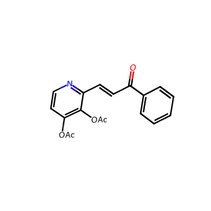 CC(=O)Oc1ccnc(C=CC(=O)c2ccccc2)c1OC(C)=O